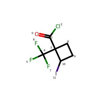 O=C(Cl)C1(C(F)(F)F)CCC1I